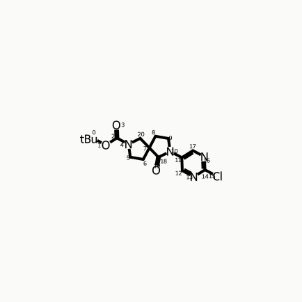 CC(C)(C)OC(=O)N1CCC2(CCN(c3cnc(Cl)nc3)C2=O)C1